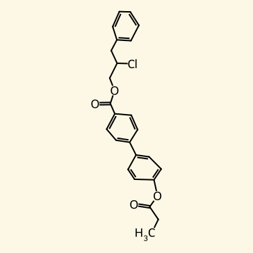 CCC(=O)Oc1ccc(-c2ccc(C(=O)OCC(Cl)Cc3ccccc3)cc2)cc1